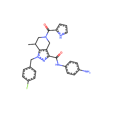 CC1CN(C(=O)c2ccc[nH]2)Cc2c(C(=O)Nc3ccc(N)cc3)nn(Cc3ccc(F)cc3)c21